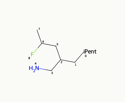 CCCC(C)CC(CN)CC(C)F